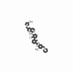 Cc1c(-c2nc3cc(CN4CCCCC4)cc(C#N)c3o2)cccc1-c1cccc(Nc2nccc3cc(CN4CC[C@@H](O)C4)cnc23)c1Cl